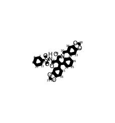 O=C(NS(=O)(=O)c1ccccc1)c1c(-c2ccc3c(c2)OCO3)c2ccccc2n(Cc2ccc3c(c2)OCO3)c1=O